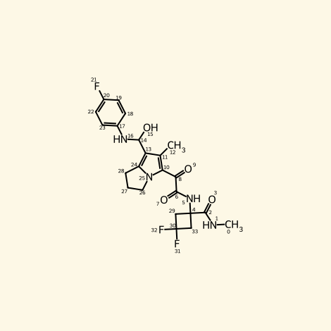 CNC(=O)C1(NC(=O)C(=O)c2c(C)c(C(O)Nc3ccc(F)cc3)c3n2CCC3)CC(F)(F)C1